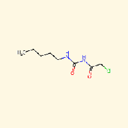 CCCCCNC(=O)NC(=O)CCl